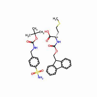 CC(C)(C)OC(=O)NCc1ccc(S(N)(=O)=O)cc1.CSCC[C@H](NC(=O)OCC1c2ccccc2-c2ccccc21)C(=O)O